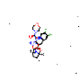 N[C@H](Cc1cc(F)c(F)cc1F)[C@@H]1C[C@H]2CC[C@@H](C1)N2S(=O)(=O)CCNC(=O)N1CCOCC1